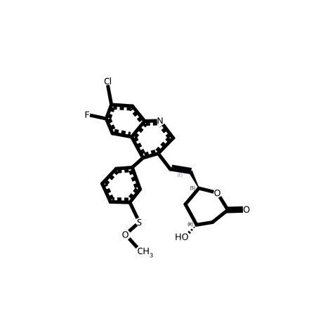 COSc1cccc(-c2c(/C=C/[C@@H]3C[C@@H](O)CC(=O)O3)cnc3cc(Cl)c(F)cc23)c1